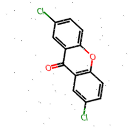 O=c1c2cc(Cl)ccc2oc2ccc(Cl)cc12